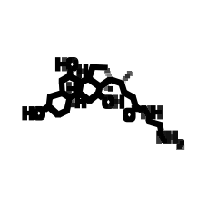 C[C@H](CCC(=O)NCCN)[C@H]1CC[C@H]2[C@@H]3C(O)CC4CC(O)CC[C@]4(C)[C@H]3CC(O)[C@]12C